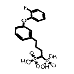 O=P(O)(O)C(CCCc1cccc(Oc2ccccc2F)c1)S(=O)(=O)O